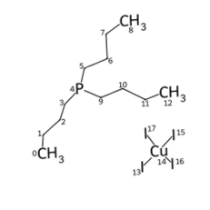 CCCCP(CCCC)CCCC.[I][Cu]([I])([I])[I]